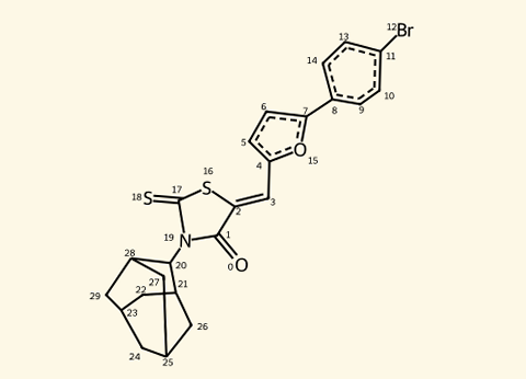 O=C1/C(=C/c2ccc(-c3ccc(Br)cc3)o2)SC(=S)N1C1C2CC3CC(C2)CC1C3